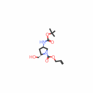 C=CCOC(=O)N1C[C@H](NC(=O)OC(C)(C)C)C[C@H]1CO